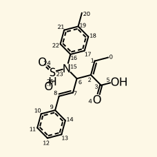 CC=C(C(=O)O)C(C=Cc1ccccc1)N(c1ccc(C)cc1)[SH](=O)=O